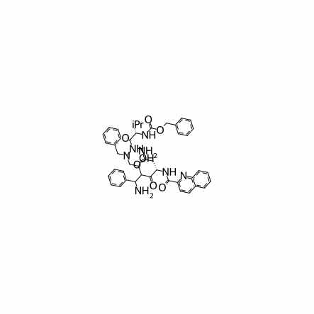 CC(C)[C@H](NC(=O)OCc1ccccc1)C(=O)NN(Cc1ccccc1)CC(O)C(C(=O)[C@H](CC(N)=O)NC(=O)c1ccc2ccccc2n1)C(N)c1ccccc1